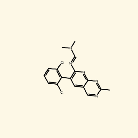 Cc1ncc2cc(-c3c(Cl)cccc3Cl)c(/N=C/N(C)C)nc2n1